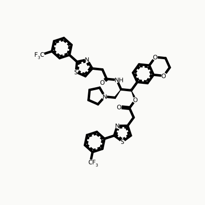 O=C(Cc1csc(-c2cccc(C(F)(F)F)c2)n1)N[C@H](CN1CCCC1)[C@H](OC(=O)Cc1csc(-c2cccc(C(F)(F)F)c2)n1)c1ccc2c(c1)OCCO2